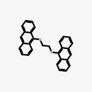 c1ccc2c(OCCOc3c4ccccc4cc4ccccc34)c3ccccc3cc2c1